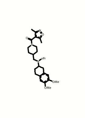 CCCN(CC1CCN(C(=O)c2c(C)noc2C)CC1)C1CCc2cc(OC)c(OC)cc2C1